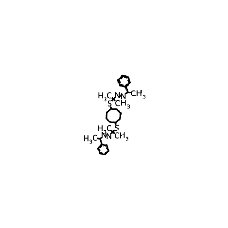 CC(N=NC(C)(C)SC1CCCC(SC(C)(C)N=NC(C)c2ccccc2)CCC1)c1ccccc1